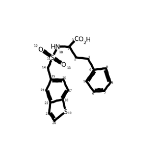 O=C(O)C(CCc1ccccc1)NS(=O)(=O)Cc1ccc2sccc2c1